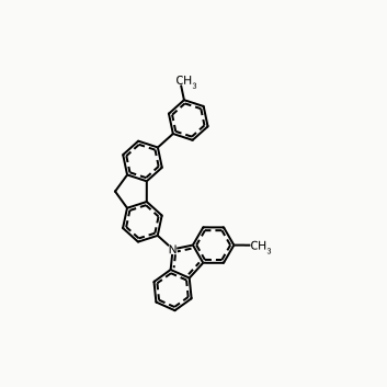 Cc1cccc(-c2ccc3c(c2)-c2cc(-n4c5ccccc5c5cc(C)ccc54)ccc2C3)c1